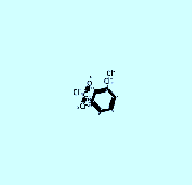 O=[C]=[Cr+3].[Cl-].[Cl-].[Cl-].c1ccccc1